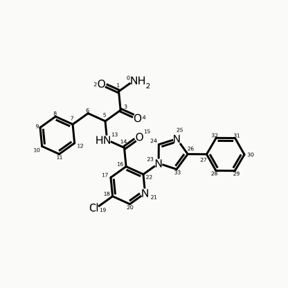 NC(=O)C(=O)C(Cc1ccccc1)NC(=O)c1cc(Cl)cnc1-n1cnc(-c2ccccc2)c1